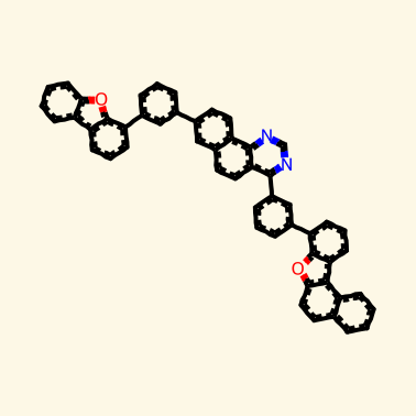 c1cc(-c2ccc3c(ccc4c(-c5cccc(-c6cccc7c6oc6ccc8ccccc8c67)c5)ncnc43)c2)cc(-c2cccc3c2oc2ccccc23)c1